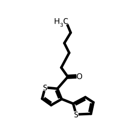 CCCCCC(=O)c1sccc1-c1cccs1